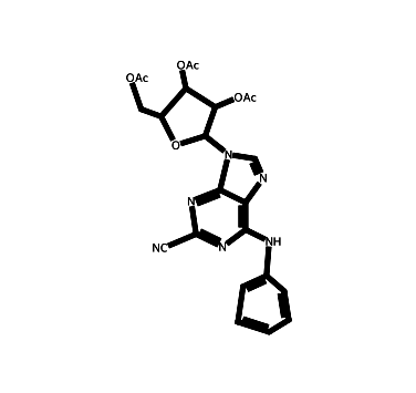 CC(=O)OCC1OC(n2cnc3c(Nc4ccccc4)nc(C#N)nc32)C(OC(C)=O)C1OC(C)=O